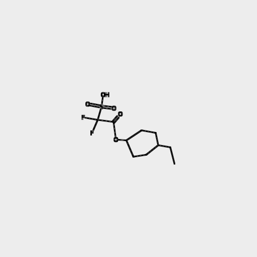 CCC1CCC(OC(=O)C(F)(F)S(=O)(=O)O)CC1